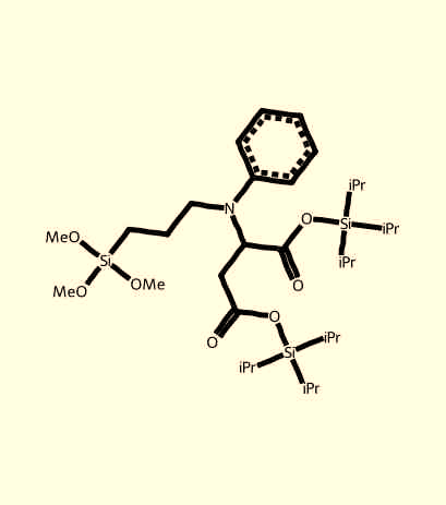 CO[Si](CCCN(c1ccccc1)C(CC(=O)O[Si](C(C)C)(C(C)C)C(C)C)C(=O)O[Si](C(C)C)(C(C)C)C(C)C)(OC)OC